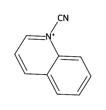 N#C[n+]1cccc2ccccc21